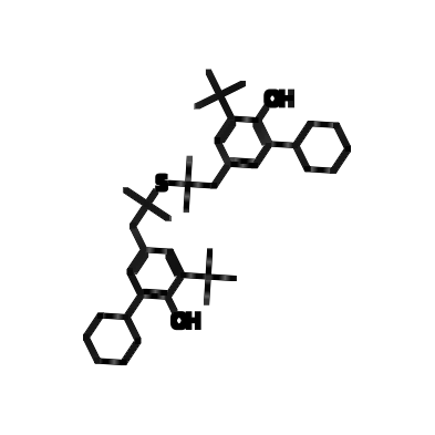 CC(C)(Cc1cc(C2CCCCC2)c(O)c(C(C)(C)C)c1)SC(C)(C)Cc1cc(C2CCCCC2)c(O)c(C(C)(C)C)c1